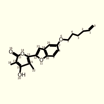 C=CCCCCOc1ccc2oc(-c3oc(=O)c(C)c(O)c3C)cc2c1